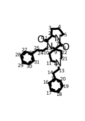 O=C1C2CCCN2C(=O)C2(CCN(CCc3ccccc3)CC2)N1CCc1ccccc1